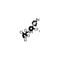 CC(=O)N1CCN(c2ccc(NC(=O)c3c(Cl)cc[nH]c3=O)cc2C(F)(F)F)CC1